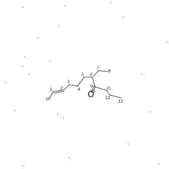 CC=CCCCC(CC)C(=O)CCC